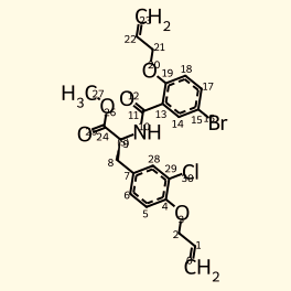 C=CCOc1ccc(C[C@H](NC(=O)c2cc(Br)ccc2OCC=C)C(=O)OC)cc1Cl